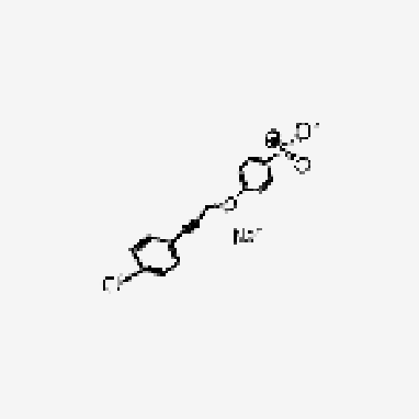 O=S(=O)([O-])c1ccc(OCC#Cc2ccc(Cl)cc2)cc1.[Na+]